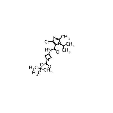 Cc1nc(Cl)c(C(=O)NC2CN(C(=O)OC(C)(C)C)C2)n1C(C)C